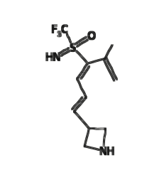 C=C(C)/C(=C\C=C\C1CNC1)S(=N)(=O)C(F)(F)F